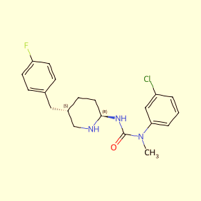 CN(C(=O)N[C@@H]1CC[C@@H](Cc2ccc(F)cc2)CN1)c1cccc(Cl)c1